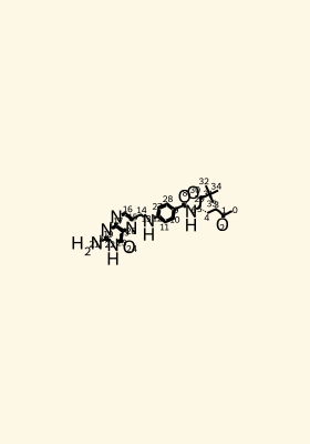 CC(=O)CC[C@H](NC(=O)c1ccc(NCc2cnc3nc(N)[nH]c(=O)c3n2)cc1)C(=O)C(C)(C)C